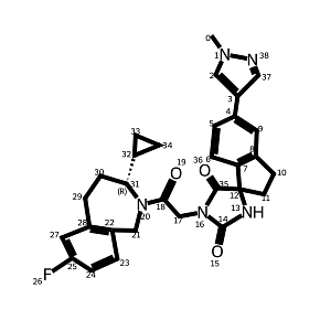 Cn1cc(-c2ccc3c(c2)CCC32NC(=O)N(CC(=O)N3Cc4ccc(F)cc4CC[C@@H]3C3CC3)C2=O)cn1